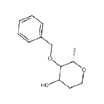 C[C@@H]1OCCC(O)C1OCc1ccccc1